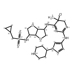 CC1(Cl)CN=C(Nc2cnn(C3CCNCC3)c2)N=C1NC1COC2C(NS(=O)(=O)CC3CC3)COC12